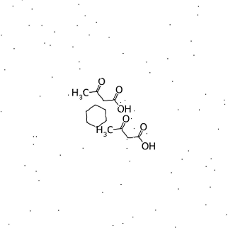 C1CCCCC1.CC(=O)CC(=O)O.CC(=O)CC(=O)O